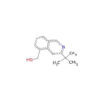 CC(C)(C)c1cc2c(CO)cccc2cn1